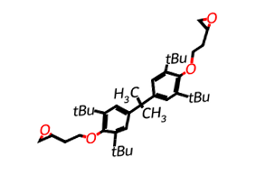 CC(C)(C)c1cc(C(C)(C)c2cc(C(C)(C)C)c(OCCC3CO3)c(C(C)(C)C)c2)cc(C(C)(C)C)c1OCCC1CO1